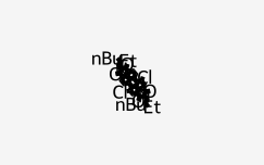 CCCCC(CC)CN1C(=O)c2ccc3c4c(Cl)cc5c6c(cc(Cl)c(c7ccc(c2c37)C1=O)c64)C(=O)N(CC(CC)CCCC)C5=O